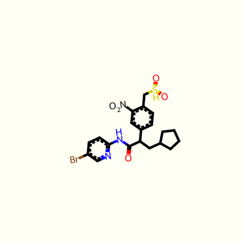 O=C(Nc1ccc(Br)cn1)C(CC1CCCC1)c1ccc(C[SH](=O)=O)c([N+](=O)[O-])c1